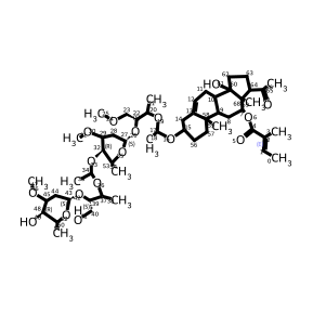 C/C=C(\C)C(=O)OC1CC2C(CC=C3CC(OC(C)OC(C)[C@H](COC)O[C@H]4CC(OC)[C@H](OC(C)OC(C)[C@H](CO)O[C@H]5CC(OC)[C@H](O)C(C)O5)C(C)O4)CCC32C)C2(O)CCC(C(C)=O)C12C